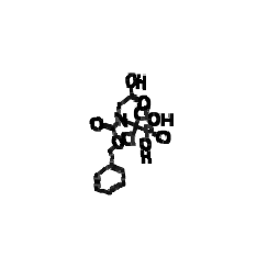 O=C(O)CN(C(=O)OCc1ccccc1)C(Cl)(Cl)P(=O)(O)O